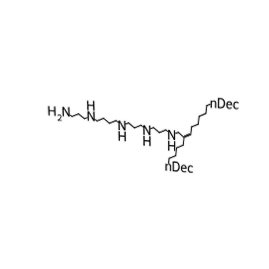 CCCCCCCCCCCCCCC/C=C(/CCCCCCCCCCCCCC)CNCCCNCCCNCCCCNCCCN